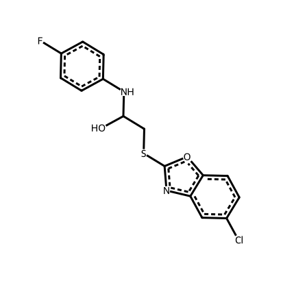 OC(CSc1nc2cc(Cl)ccc2o1)Nc1ccc(F)cc1